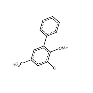 COc1c(Cl)cc(C(=O)O)cc1-c1ccccc1